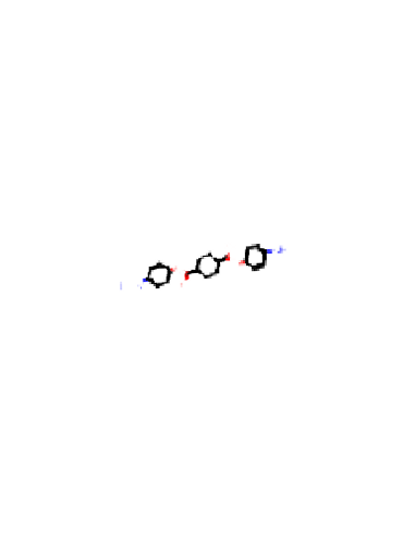 Nc1ccc(OC(=O)C2CCC(C(=O)Oc3ccc(N)cc3)CC2)cc1